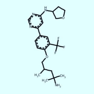 CC(COc1ccc(-c2cc(NC3CCOC3)ncn2)cc1C(F)(F)F)CC(C)(C)N